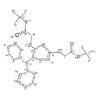 CC(C)(C)OC(=O)COc1ccc([S+](c2ccccc2)c2ccccc2)c(OCC(=O)OC(C)(C)C)c1